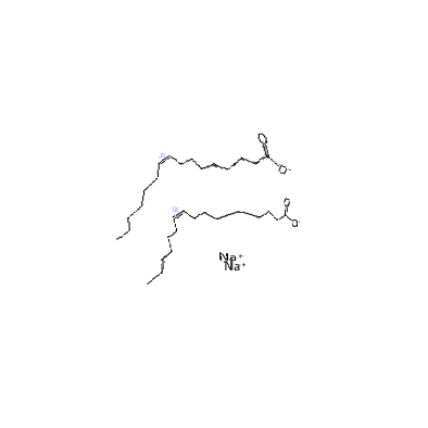 CCCCCC/C=C\CCCCCCCC(=O)[O-].CCCCCC/C=C\CCCCCCCC(=O)[O-].[Na+].[Na+]